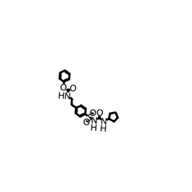 O=C(NC1CCCC1)NS(=O)(=O)c1ccc(CCNC(=O)Oc2ccccc2)cc1